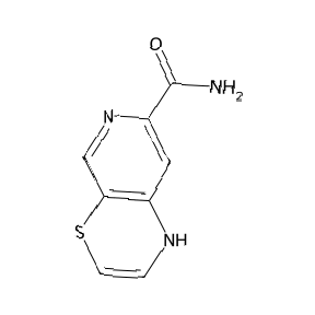 NC(=O)c1cc2c(cn1)SC=CN2